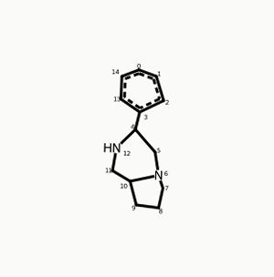 c1ccc(C2CN3CCCC3CN2)cc1